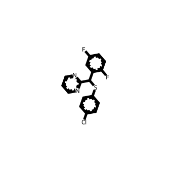 Fc1ccc(F)c(C(Sc2ccc(Cl)cc2)c2ncccn2)c1